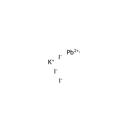 [I-].[I-].[I-].[K+].[Pb+2]